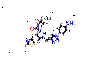 CCC1(C(=O)O)OC1C(=O)N[C@@H](Cc1cscn1)C(=O)NCc1cn(-c2ccc(N)cc2)nn1